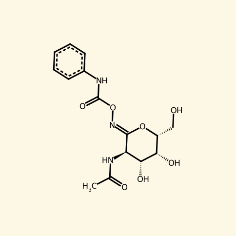 CC(=O)N[C@H]1/C(=N/OC(=O)Nc2ccccc2)O[C@H](CO)[C@H](O)[C@@H]1O